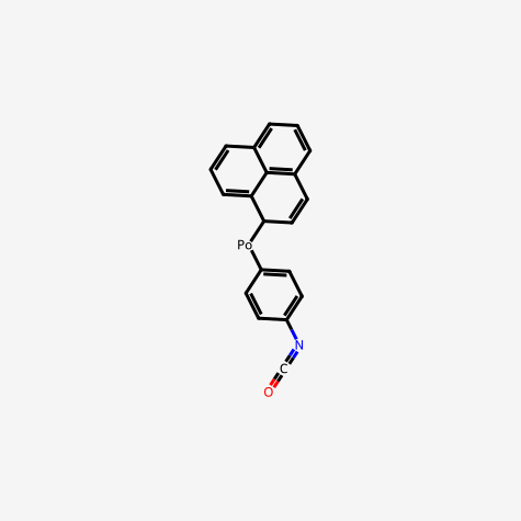 O=C=Nc1cc[c]([Po][CH]2C=Cc3cccc4cccc2c34)cc1